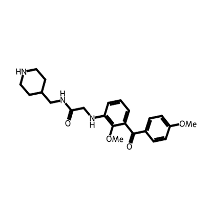 COc1ccc(C(=O)c2cccc(NCC(=O)NCC3CCNCC3)c2OC)cc1